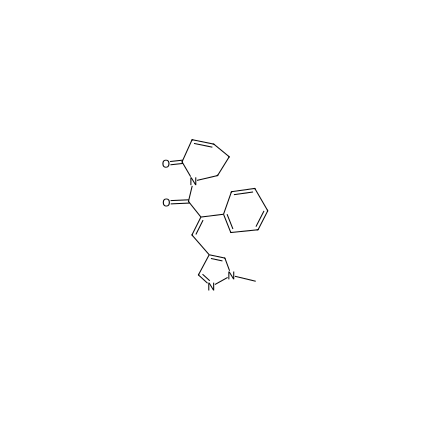 Cn1cc(/C=C(/C(=O)N2CCC=CC2=O)c2ccccc2)cn1